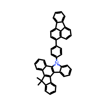 CC1(C)c2ccccc2-c2c1c1ccccc1c1c2c2ccccc2n1-c1ccc(-c2ccc3c4c(cccc24)-c2ccccc2-3)cc1